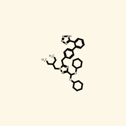 CCC(CC)Cn1nc(C(OC2CCCCC2)OC2CCCCC2)nc1Cc1ccc(-c2ccccc2-c2nnn[nH]2)cc1